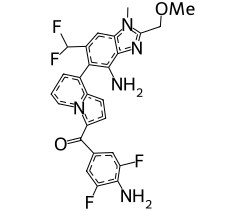 COCc1nc2c(N)c(-c3cccn4c(C(=O)c5cc(F)c(N)c(F)c5)ccc34)c(C(F)F)cc2n1C